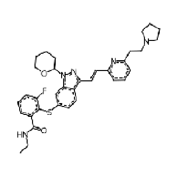 CCNC(=O)c1cccc(F)c1Sc1ccc2c(/C=C/c3cccc(CCN4CCCC4)n3)nn(C3CCCCO3)c2c1